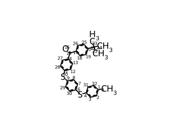 Cc1ccc(Sc2ccc(Sc3ccc(C(=O)c4ccc(C(C)(C)C)cc4)cc3)cc2)cc1